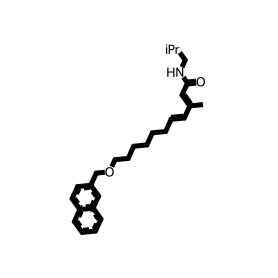 CC(C=CCCCCCCOCc1ccc2ccccc2c1)=CC(=O)NCC(C)C